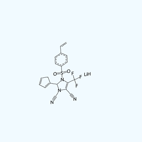 C=Cc1ccc(S(=O)(=O)N2C(C(F)(F)F)=C(C#N)N(C#N)C2C2=CC=CC2)cc1.[LiH]